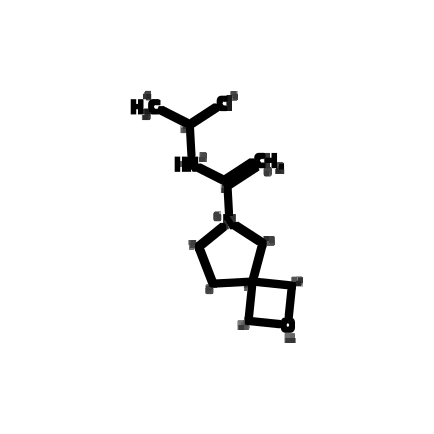 C=C(NC(C)Cl)N1CCC2(COC2)C1